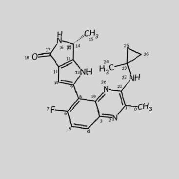 Cc1nc2ccc(F)c(-c3cc4c([nH]3)[C@@H](C)NC4=O)c2nc1NC1(C)CC1